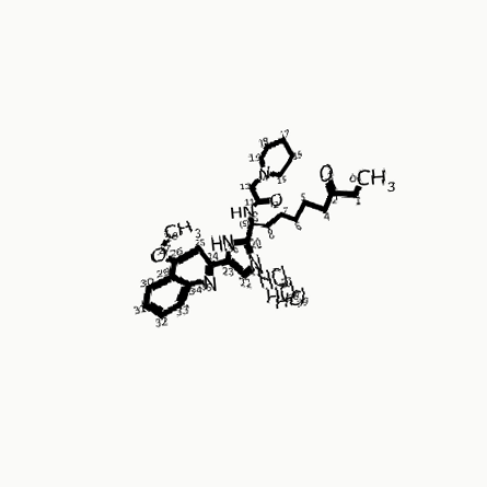 CCC(=O)CCCCC[C@H](NC(=O)CN1CCCCC1)c1ncc(-c2cc(OC)c3ccccc3n2)[nH]1.Cl.Cl.Cl